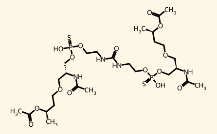 CC(=O)N[C@H](COCC[C@@H](C)OC(C)=O)COP(O)(=S)OCCNC(=O)NCCOP(O)(=S)OC[C@@H](COCC[C@@H](C)OC(C)=O)NC(C)=O